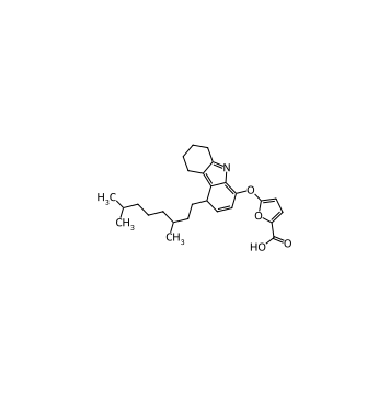 CC(C)CCCC(C)CCC1C=CC(Oc2ccc(C(=O)O)o2)=C2N=C3CCCCC3=C21